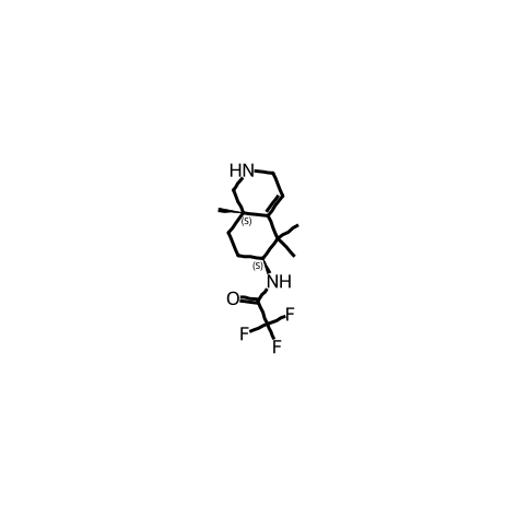 CC1(C)C2=CCNC[C@@]2(C)CC[C@@H]1NC(=O)C(F)(F)F